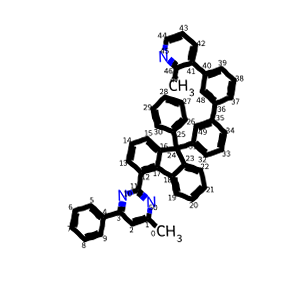 Cc1cc(-c2ccccc2)nc(-c2cccc3c2-c2ccccc2C3(c2ccccc2)c2cccc(-c3cccc(-c4cccnc4C)c3)c2)n1